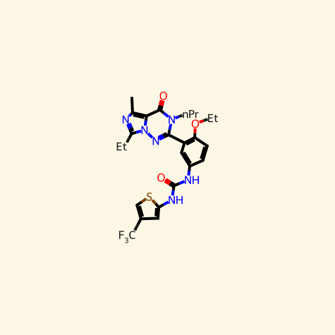 CCCn1c(-c2cc(NC(=O)Nc3cc(C(F)(F)F)cs3)ccc2OCC)nn2c(CC)nc(C)c2c1=O